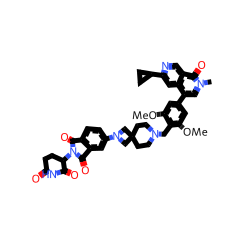 COc1cc(-c2cn(C)c(=O)c3cnc(C4CC4)cc23)cc(OC)c1CN1CCC2(CC1)CN(c1ccc3c(c1)C(=O)N(C1CCC(=O)NC1=O)C3=O)C2